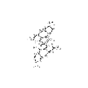 CN1c2ccc(N)cc2Sc2cc(N)cc(S(=O)(=O)c3cc(N)cc4c3N(C)c3ccc(N)cc3S4)c21